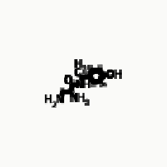 CC(NC(=O)C(N)CN)c1ccc(O)cc1